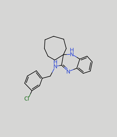 Clc1cccc(CNC2=Nc3ccccc3NC23CCCCCCC3)c1